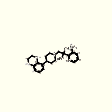 CCCC(C)(CN1CCC(c2cccc3c2OCCO3)CC1)c1ncccc1N